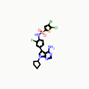 Nc1ncnc2c1c(-c1ccc(NS(=O)(=O)c3cc(Br)c(Cl)s3)c(F)c1)cn2C1CCCC1